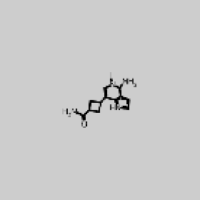 NC(=O)C1CC(C2=CN(I)C(N)c3cc[nH]c32)C1